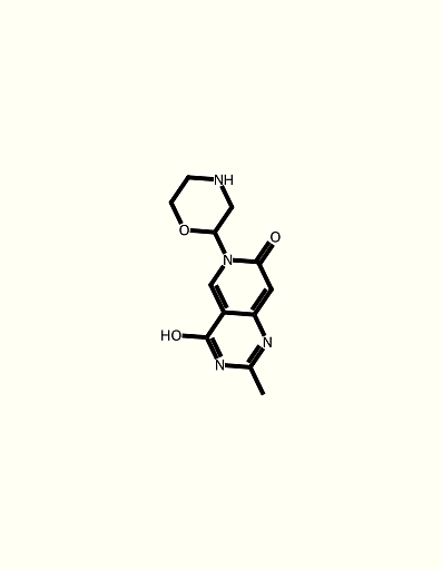 Cc1nc(O)c2cn(C3CNCCO3)c(=O)cc2n1